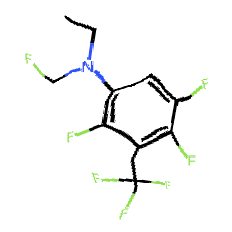 CCN(CF)c1cc(F)c(F)c(C(F)(F)F)c1F